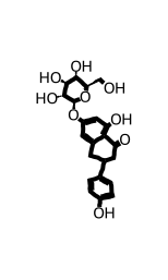 O=C1CC(c2ccc(O)cc2)Cc2cc(O[C@@H]3O[C@H](CO)[C@@H](O)[C@H](O)[C@H]3O)cc(O)c21